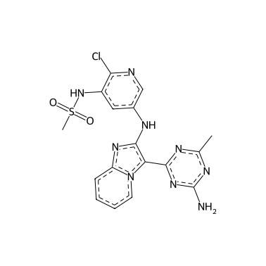 Cc1nc(N)nc(-c2c(Nc3cnc(Cl)c(NS(C)(=O)=O)c3)nc3ccccn23)n1